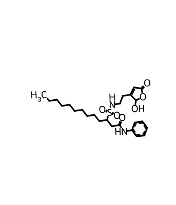 CCCCCCCCCCC(CC(=O)Nc1ccccc1)S(=O)(=O)NCCC1=CC(=O)OC1O